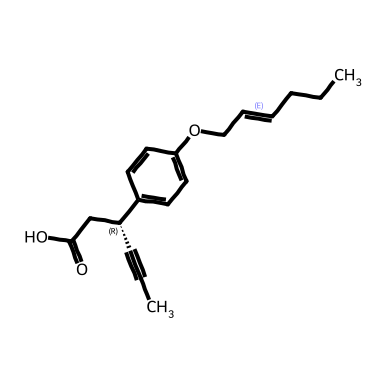 CC#C[C@H](CC(=O)O)c1ccc(OC/C=C/CCC)cc1